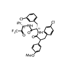 COc1ccc(C(Cc2ccc(Cl)cc2)C(=O)N[C@@H](Cc2cccc(Cl)c2)C(=O)N[C@H](C(=O)C(F)(F)F)C(C)C)cc1